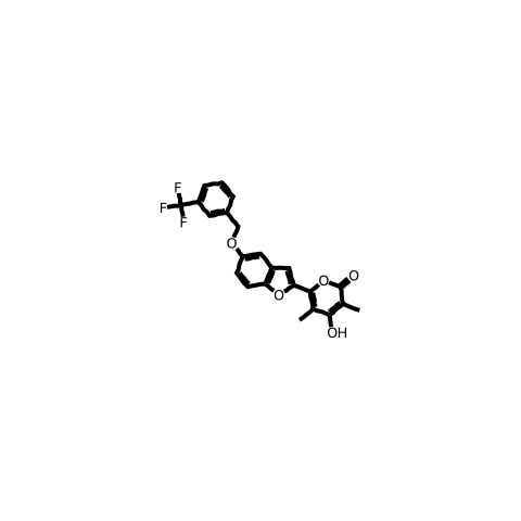 Cc1c(-c2cc3cc(OCc4cccc(C(F)(F)F)c4)ccc3o2)oc(=O)c(C)c1O